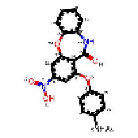 CC(=O)Nc1ccc(Oc2cc([N+](=O)O)cc3c2C(=O)Nc2ccccc2O3)cc1